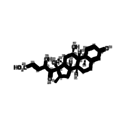 C[C@@H]1C[C@H]2[C@@H]3CCC4=CC(=O)C=C[C@]4(C)[C@H]3[C@@H](O)C[C@]2(C)[C@@]1(O)C(=O)C(O)C=CC(=O)O